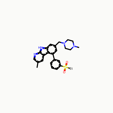 CCS(=O)(=O)c1cccc(-c2cc(CN3CCN(C)CC3)cc3[nH]c4ncc(C)cc4c23)c1